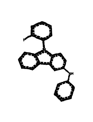 Fc1ccccc1-n1c2ccccc2c2cc(Nc3ccccc3)ccc21